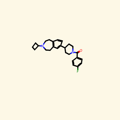 O=C(c1ccc(F)cc1)N1CCC(c2ccc3c(c2)CCN(C2CCC2)CC3)CC1